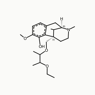 CCOC(C)C(C)OC[C@]12CCN(C)[C@H](Cc3ccc(OC)c(O)c31)C2C